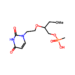 COCC(COP(C)(=O)O)OCCn1ccc(=O)[nH]c1=O